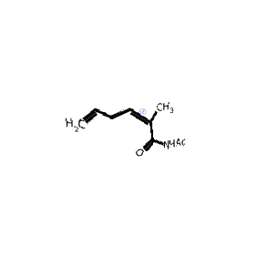 C=CC/C=C(/C)C(=O)NC(C)=O